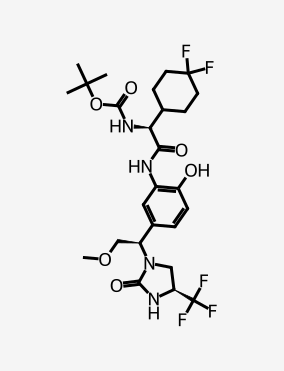 COC[C@@H](c1ccc(O)c(NC(=O)[C@@H](NC(=O)OC(C)(C)C)C2CCC(F)(F)CC2)c1)N1C[C@@H](C(F)(F)F)NC1=O